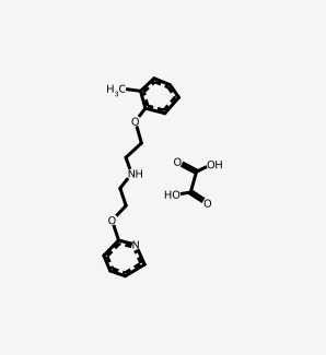 Cc1ccccc1OCCNCCOc1ccccn1.O=C(O)C(=O)O